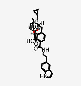 C[N+]1(CC2CC2)CC[C@]23CC(=O)CC[C@@]2(O)[C@H]1Cc1ccc(C(=O)NCCc2ccc4[nH]ccc4c2)c(O)c13